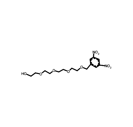 O=[N+]([O-])c1cc(COCCOCCOCCOCCO)cc([N+](=O)[O-])c1